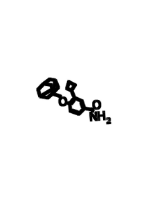 NC(=O)c1ccc(OCC23CC4CC(CC(C4)C2)C3)c(C2CCC2)c1